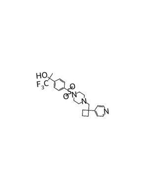 CC(O)(c1ccc(S(=O)(=O)N2CCN(CC3(c4ccncc4)CCC3)CC2)cc1)C(F)(F)F